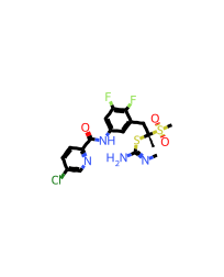 C/N=C(/N)S[C@](C)(Cc1cc(NC(=O)c2ccc(Cl)cn2)cc(F)c1F)S(C)(=O)=O